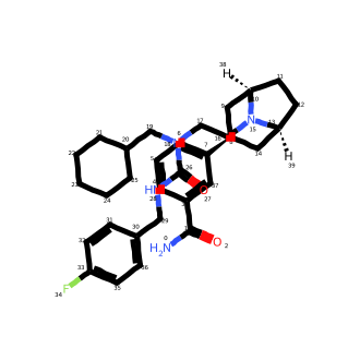 NC(=O)c1cccc([C@H]2C[C@H]3CC[C@@H](C2)N3CCN(CC2CCCCC2)C(=O)NCc2ccc(F)cc2)c1